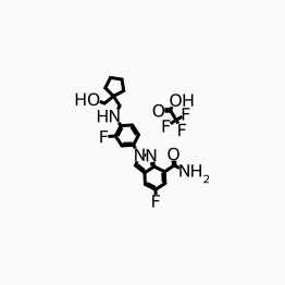 NC(=O)c1cc(F)cc2cn(-c3ccc(NCC4(CO)CCCC4)c(F)c3)nc12.O=C(O)C(F)(F)F